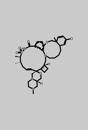 C[C@@H]1[C@@H](C)C/C=C/[C@]2(CN3CCN(C)C[C@H]3CO2)[C@@H]2CC[C@H]2CN2CCCCC3C=C(Cl)C=CC3(C)COc3ccc(cc32)C(=O)NS1(=O)=O